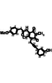 COc1ccc(CC(=O)Nc2c(Cl)n(CC#Cc3cccc(O)c3)c(=O)n(C)c2=O)cc1